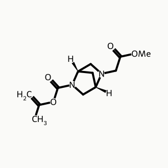 C=C(C)OC(=O)N1C[C@@H]2C[C@H]1CN2CC(=O)OC